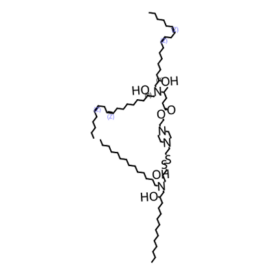 CCCCC/C=C\C/C=C\CCCCCC[C@@H](O)CN(C[C@H](O)CCCCCC/C=C\C/C=C\CCCCC)C(C)CCC(=O)OCCN1CCN(CCSSCCCN(CC(O)CCCCCCCCCCCC)CC(O)CCCCCCCCCCCC)CC1